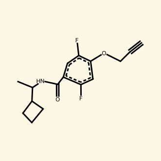 C#CCOc1cc(F)c(C(=O)NC(C)C2CCC2)cc1F